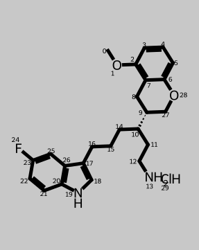 COc1cccc2c1C[C@@H](C(CCN)CCCc1c[nH]c3ccc(F)cc13)CO2.Cl